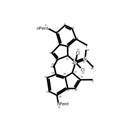 CCCCCc1ccc(C)c2c1C=C(C)[CH]2[Zr]([Cl])([Cl])([CH]1C(C)=Cc2c(CCCCC)ccc(C)c21)=[Si](C)C